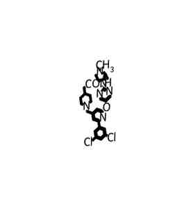 CN1CC2CC1CN2c1ncc(Oc2cc(CN3CCC(CC(=O)O)CC3)cc(-c3cc(Cl)cc(Cl)c3)n2)cn1